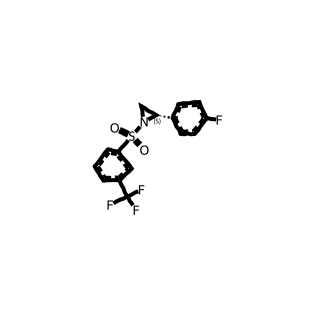 O=S(=O)(c1cccc(C(F)(F)F)c1)N1C[C@@H]1c1ccc(F)cc1